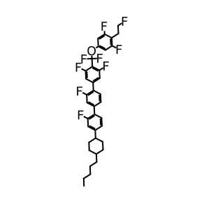 CCCCCC1CCC(c2ccc(-c3ccc(-c4cc(F)c(C(F)(F)Oc5cc(F)c(CCF)c(F)c5)c(F)c4)c(F)c3)c(F)c2)CC1